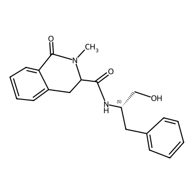 CN1C(=O)c2ccccc2CC1C(=O)N[C@H](CO)Cc1ccccc1